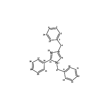 c1ccc(Cc2cn(Cc3ccccc3)c(-c3ccccc3)n2)cc1